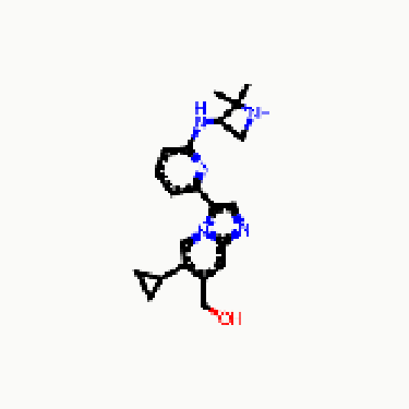 CC1(C)NCC1Nc1cccc(-c2cnc3cc(CO)c(C4CC4)cn23)n1